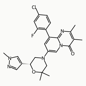 Cc1nc2c(-c3ccc(Cl)cc3F)cc(N3C[C@@H](c4cnn(C)c4)OC(C)(C)C3)cn2c(=O)c1C